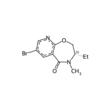 CC[C@H]1COc2ncc(Br)cc2C(=O)N1C